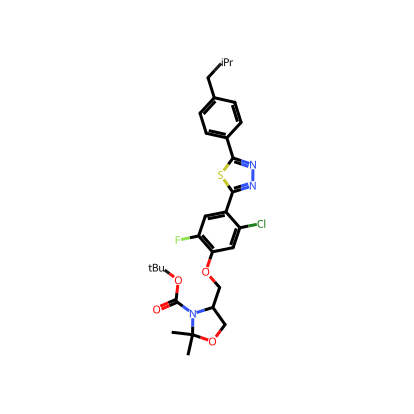 CC(C)Cc1ccc(-c2nnc(-c3cc(F)c(OCC4COC(C)(C)N4C(=O)OC(C)(C)C)cc3Cl)s2)cc1